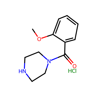 COc1ccccc1C(=O)N1CCNCC1.Cl